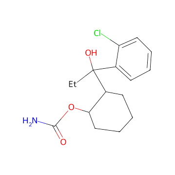 CCC(O)(c1ccccc1Cl)C1CCCCC1OC(N)=O